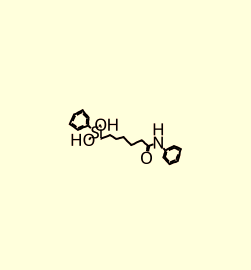 O=C(CCCCCC[Si](O)(O)c1ccccc1)Nc1ccccc1